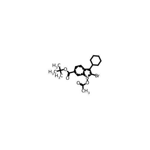 CC(=O)On1c(Br)c(C2CCCCC2)c2ccc(C(=O)OC(C)(C)C)cc21